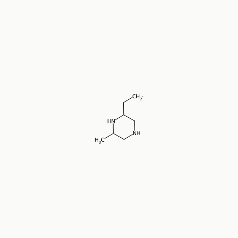 [CH2]CC1CNCC(C)N1